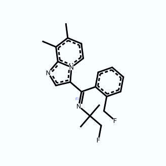 Cc1ccn2c(/C(=N/C(C)(C)CF)c3ccccc3CF)cnc2c1C